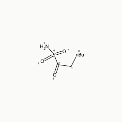 CCCCCC(=O)S(N)(=O)=O